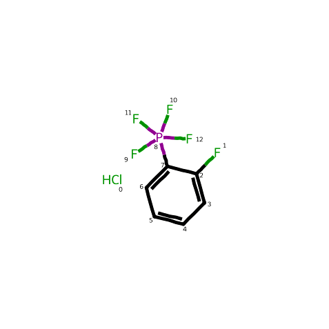 Cl.Fc1ccccc1P(F)(F)(F)F